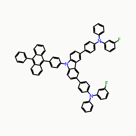 Fc1cccc(N(c2ccccc2)c2ccc(-c3ccc4c(c3)c3cc(-c5ccc(N(c6ccccc6)c6cccc(F)c6)cc5)ccc3n4-c3ccc(-c4c5ccccc5c(-c5ccccc5)c5ccccc45)cc3)cc2)c1